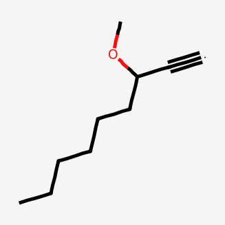 [C]#CC(CCCCCC)OC